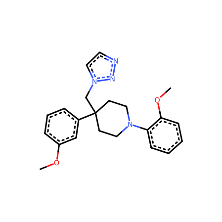 COc1cccc(C2(Cn3ccnn3)CCN(c3ccccc3OC)CC2)c1